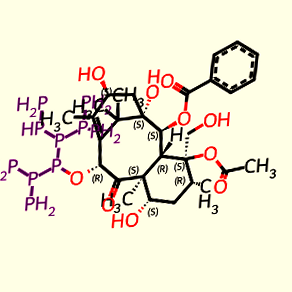 CC(=O)O[C@@]1(CO)[C@H](C)C[C@H](O)[C@@]2(C)C(=O)[C@H](OP(P(P)P)P(PP)P(P)P)C3=C(C)[C@@H](O)C[C@@](O)([C@@H](OC(=O)c4ccccc4)[C@H]12)C3(C)C